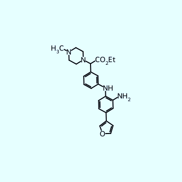 CCOC(=O)C(c1cccc(Nc2ccc(-c3ccoc3)cc2N)c1)N1CCN(C)CC1